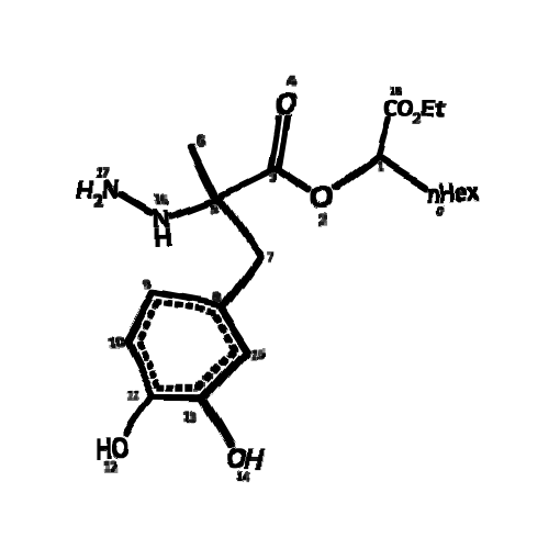 CCCCCCC(OC(=O)C(C)(Cc1ccc(O)c(O)c1)NN)C(=O)OCC